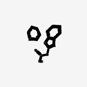 O=S(O)Oc1nc2ccccc2s1.c1ccncc1